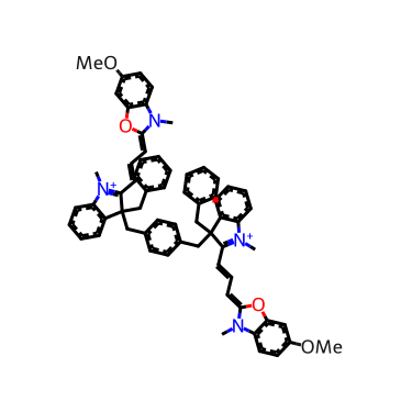 COc1ccc2c(c1)O/C(=C\C=C\C1=[N+](C)c3ccccc3C1(Cc1ccccc1)Cc1ccc(CC3(Cc4ccccc4)C(/C=C/C=C4\Oc5cc(OC)ccc5N4C)=[N+](C)c4ccccc43)cc1)N2C